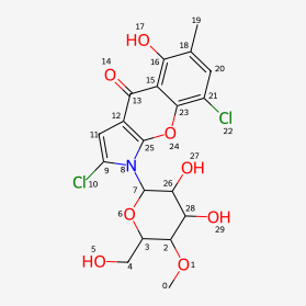 COC1C(CO)OC(n2c(Cl)cc3c(=O)c4c(O)c(C)cc(Cl)c4oc32)C(O)C1O